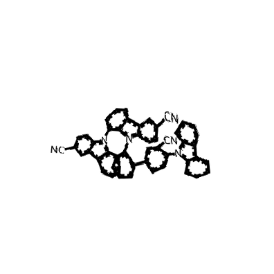 N#Cc1ccc2c(c1)c1ccccc1n2-c1cccc2c3cc(C#N)ccc3n(-c3ccccc3-c3ccc(-n4c5ccccc5c5ccccc54)c(C#N)c3)c12